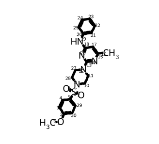 COc1ccc(S(=O)(=O)N2CCN(c3nc(C)cc(Nc4ccccc4)n3)CC2)cc1